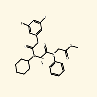 COC(=O)CN(C(=O)[C@H](C)N(C(=O)Cc1cc(F)cc(F)c1)C1CCCCC1)c1ccccc1